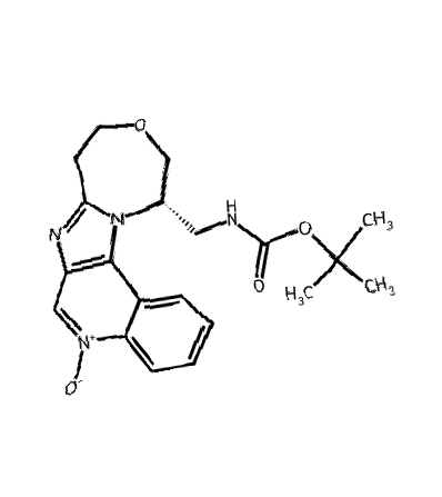 CC(C)(C)OC(=O)NC[C@H]1COCCc2nc3c[n+]([O-])c4ccccc4c3n21